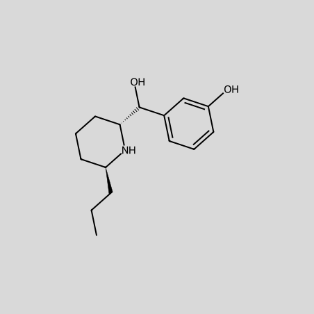 CCC[C@H]1CCC[C@H](C(O)c2cccc(O)c2)N1